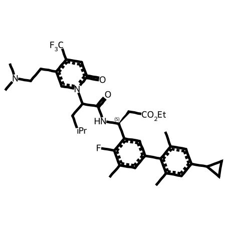 CCOC(=O)C[C@H](NC(=O)C(CC(C)C)n1cc(CCN(C)C)c(C(F)(F)F)cc1=O)c1cc(-c2c(C)cc(C3CC3)cc2C)cc(C)c1F